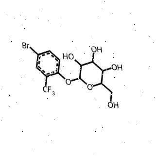 OCC1OC(Oc2ccc(Br)cc2C(F)(F)F)C(O)C(O)C1O